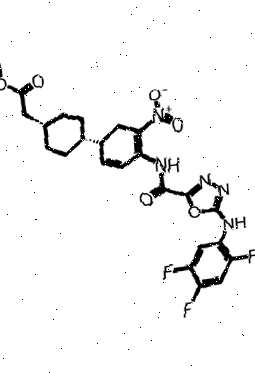 COC(=O)C[C@H]1CC[C@H](C2C=CC(NC(=O)c3nnc(Nc4cc(F)c(F)cc4F)o3)=C([N+](=O)[O-])C2)CC1